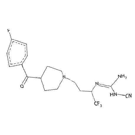 N#CNC(N)=NC(CCN1CCC(C(=O)c2ccc(F)cc2)CC1)C(F)(F)F